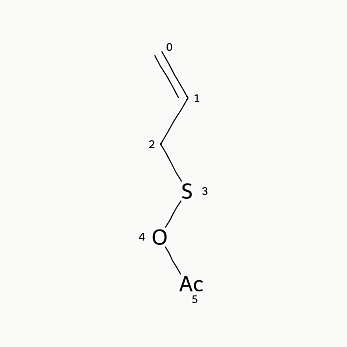 C=CCSOC(C)=O